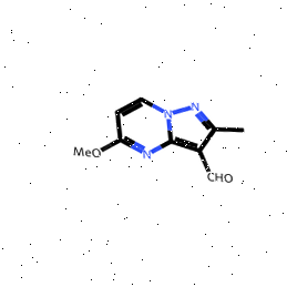 COc1ccn2nc(C)c(C=O)c2n1